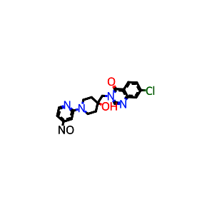 O=Nc1ccnc(N2CCC(O)(Cn3cnc4cc(Cl)ccc4c3=O)CC2)c1